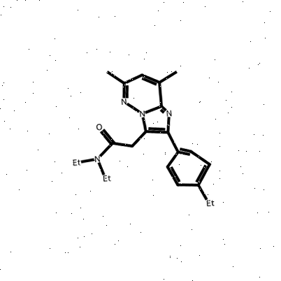 CCc1ccc(-c2nc3c(C)cc(C)nn3c2CC(=O)N(CC)CC)cc1